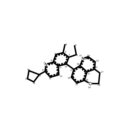 CCc1c(C)cc2nc(C3CCC3)ccc2c1-c1ccc2c3c(ccnc13)CCO2